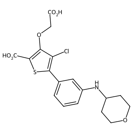 O=C(O)COc1c(C(=O)O)sc(-c2cccc(NC3CCOCC3)c2)c1Cl